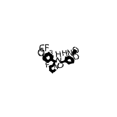 O=C(NC(c1ccc(OC(F)(F)F)cc1)c1ncccc1F)c1ccc2oc(=O)[nH]c2c1